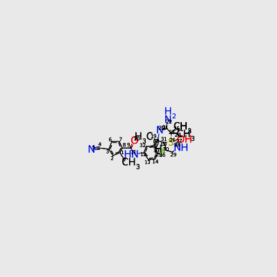 Cc1cc(C#N)ccc1C(=O)Nc1ccc(F)c([C@@]2(C)N=C(N)C(C)(C)S3(O)NCC[C@@H]23)c1